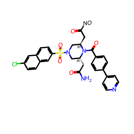 NC(=O)C[C@@H]1CN(S(=O)(=O)c2ccc3cc(Cl)ccc3c2)C[C@@H](CC(=O)N=O)N1C(=O)c1ccc(-c2ccncc2)cc1